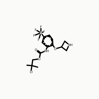 CC(C)(Cl)COC(=O)Nc1cc(S(F)(F)(F)(F)F)ccc1OC1CNC1